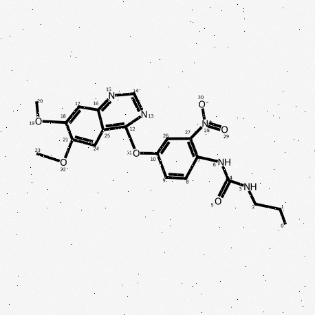 CCCNC(=O)Nc1ccc(Oc2ncnc3cc(OC)c(OC)cc23)cc1[N+](=O)[O-]